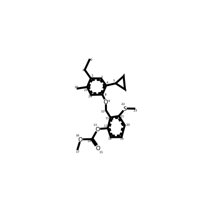 CCc1cc(C2CC2)c(OCc2c(OC(=O)OC)cccc2SC)cc1C